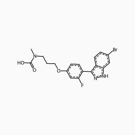 CN(CCCOc1ccc(-c2n[nH]c3cc(Br)ccc23)c(F)c1)C(=O)O